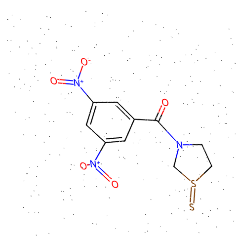 O=C(c1cc([N+](=O)[O-])cc([N+](=O)[O-])c1)N1CCS(=S)C1